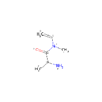 C=CN(C)C(=O)C(C)N